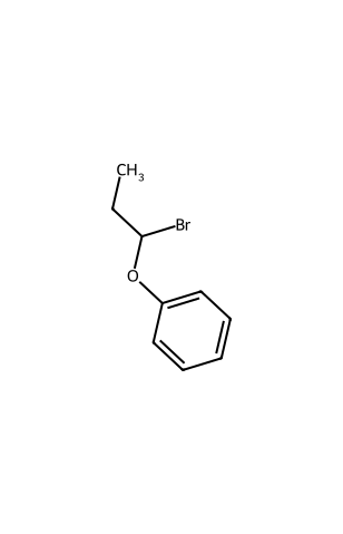 CCC(Br)Oc1ccccc1